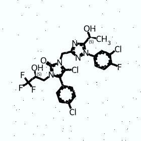 C[C@H](O)c1nc(Cn2c(Cl)c(-c3ccc(Cl)cc3)n(C[C@H](O)C(F)(F)F)c2=O)nn1-c1ccc(F)c(Cl)c1